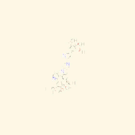 COc1cc(-c2cncc(CN3CCC(N(Cc4ccnc(-c5cc(OC)c(OC)c(OC)c5)c4)c4ccc(SC)cc4)CC3)c2)cc(OC)c1OC